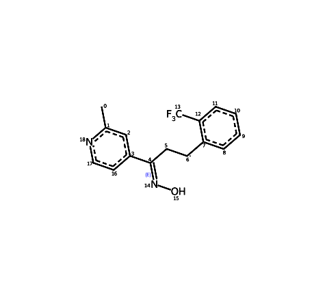 Cc1cc(/C(C[CH]c2ccccc2C(F)(F)F)=N/O)ccn1